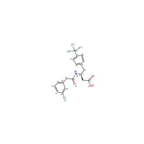 O=C(O)C[C@H](Cc1ccc(C(F)(F)F)cc1)NC(=O)Cc1cccc(Cl)c1